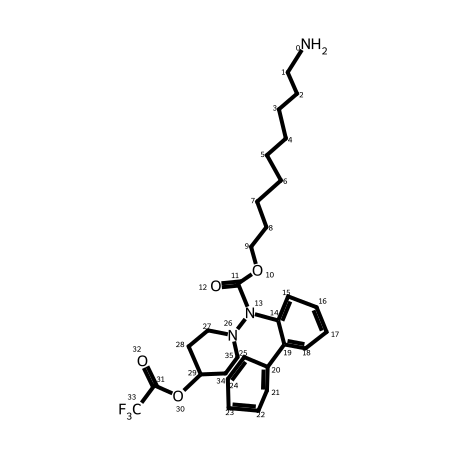 NCCCCCCCCCOC(=O)N(c1ccccc1-c1ccccc1)N1CCC(OC(=O)C(F)(F)F)CC1